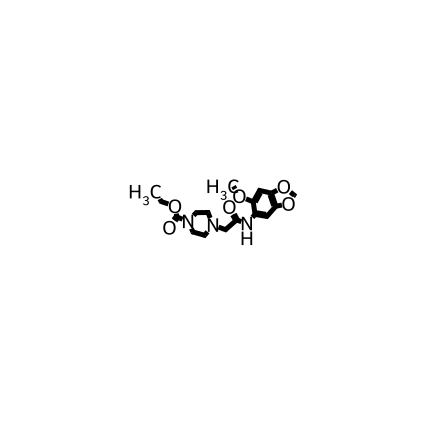 CCOC(=O)N1CCN(CC(=O)Nc2cc3c(cc2OC)OCO3)CC1